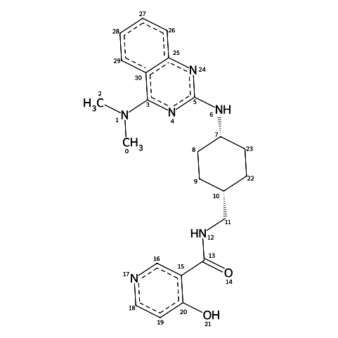 CN(C)c1nc(N[C@H]2CC[C@@H](CNC(=O)c3cnccc3O)CC2)nc2ccccc12